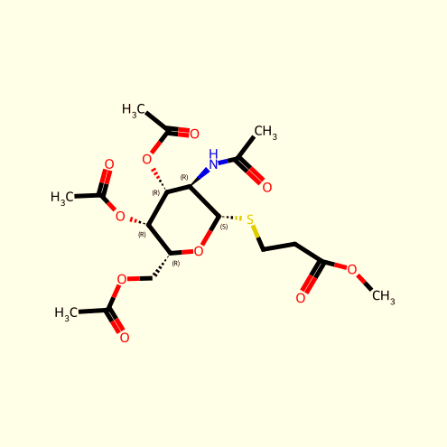 COC(=O)CCS[C@@H]1O[C@H](COC(C)=O)[C@H](OC(C)=O)[C@H](OC(C)=O)[C@H]1NC(C)=O